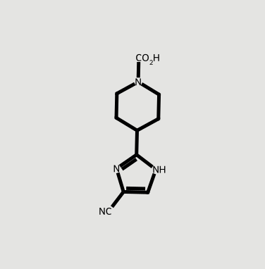 N#Cc1c[nH]c(C2CCN(C(=O)O)CC2)n1